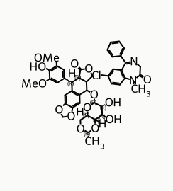 CN1C(=O)CN=C(c2ccccc2)c2cc(Cl)ccc21.COc1cc([C@@H]2c3cc4c(cc3C(O[C@@H]3O[C@@H]5CO[C@@H](C)O[C@H]5[C@H](O)[C@H]3O)C3COC(=O)[C@@H]32)OCO4)cc(OC)c1O